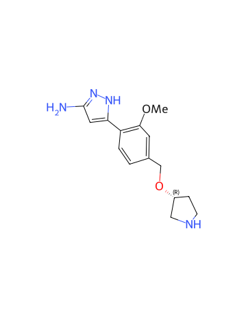 COc1cc(CO[C@@H]2CCNC2)ccc1-c1cc(N)n[nH]1